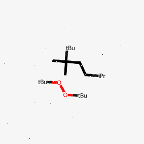 CC(C)(C)OOC(C)(C)C.CC(C)CCC(C)(C)C(C)(C)C